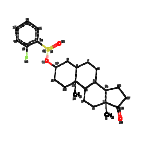 CC12CCC3C(CCC4CC(O[S@@](=O)c5ccccc5F)CCC43C)C1CCC2=O